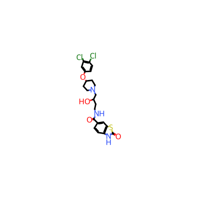 O=C(NCCC(O)CN1CCC(Oc2ccc(Cl)c(Cl)c2)CC1)c1ccc2[nH]c(=O)sc2c1